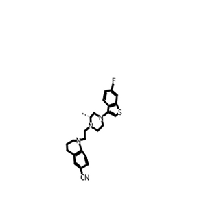 C[C@@H]1CN(c2csc3cc(F)ccc23)CCN1CCN1CCCc2cc(C#N)ccc21